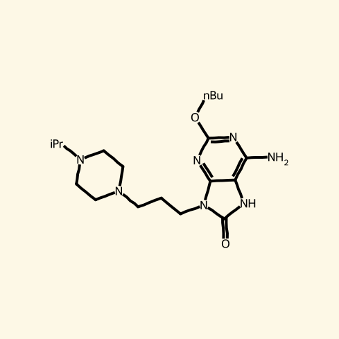 CCCCOc1nc(N)c2[nH]c(=O)n(CCCN3CCN(C(C)C)CC3)c2n1